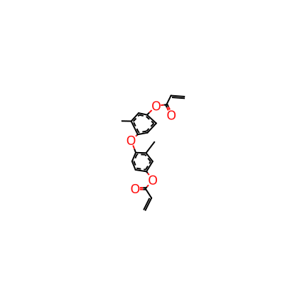 C=CC(=O)Oc1ccc(Oc2ccc(OC(=O)C=C)cc2C)c(C)c1